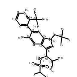 CC(C)S(=O)(=O)N[C@@H](c1cn(CC(C)(C)C)c2cc(-c3cccnc3C(F)(F)F)c(F)cc12)C(F)F